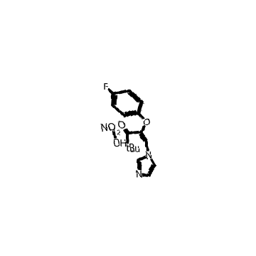 CC(C)(C)C(=O)C(=Cn1ccnc1)Oc1ccc(F)cc1.O=[N+]([O-])O